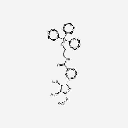 CC(=O)OC[C@H]1O[C@@H]([n+]2cccc(C(=O)NCCC[PH](c3ccccc3)(c3ccccc3)c3ccccc3)c2)[C@H](OC(C)=O)[C@@H]1OC(C)=O